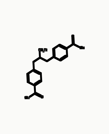 CCOC(=O)C(Cc1ccc(C(=O)C(C)(C)C)cc1)Cc1ccc(C(=O)C(C)(C)C)cc1